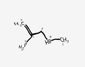 C=C(P)CBC